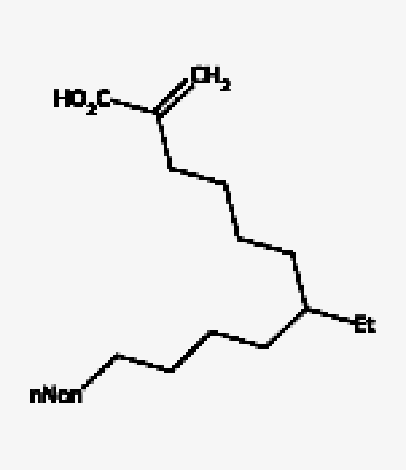 C=C(CCCCC(CC)CCCCCCCCCCCCC)C(=O)O